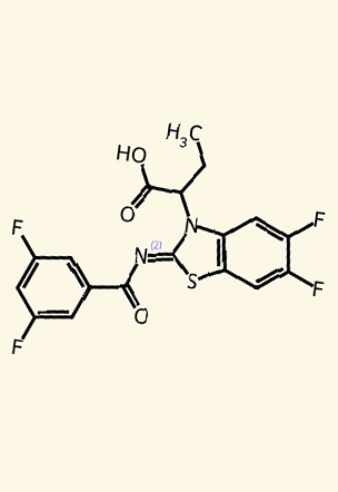 CCC(C(=O)O)n1/c(=N/C(=O)c2cc(F)cc(F)c2)sc2cc(F)c(F)cc21